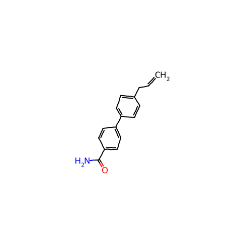 C=CCc1ccc(-c2ccc(C(N)=O)cc2)cc1